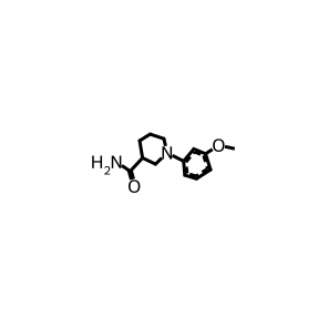 COc1cccc(N2CCCC(C(N)=O)C2)c1